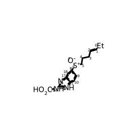 CC/C=C/CCC[S+]([O-])c1ccc2[nH]c(NC(=O)O)nc2c1